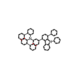 c1ccc(-c2ccccc2N(c2cccc(-c3ccc(-c4ccccc4)c4c3c3ccccc3n4-c3ccccc3)c2)c2ccccc2-c2ccccc2)cc1